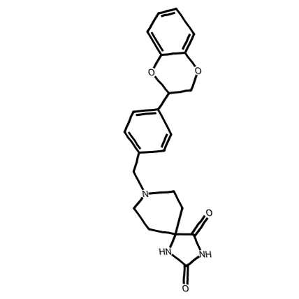 O=C1NC(=O)C2(CCN(Cc3ccc(C4COc5ccccc5O4)cc3)CC2)N1